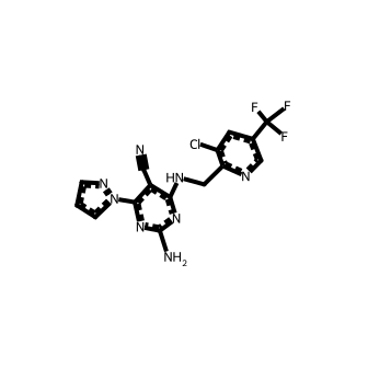 N#Cc1c(NCc2ncc(C(F)(F)F)cc2Cl)nc(N)nc1-n1cccn1